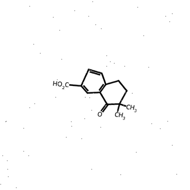 CC1(C)CCc2ccc(C(=O)O)cc2C1=O